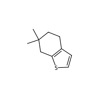 CC1(C)CCc2ccsc2C1